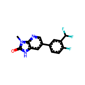 Cn1c(=O)[nH]c2cc(-c3ccc(F)c(C(F)F)c3)cnc21